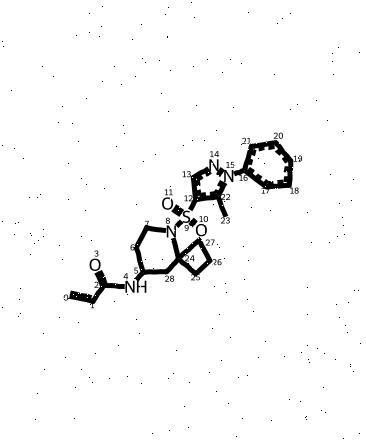 C=CC(=O)NC1CCN(S(=O)(=O)c2cnn(-c3ccccc3)c2C)C2(CCC2)C1